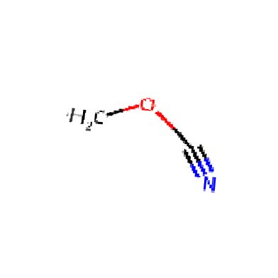 [CH2]OC#N